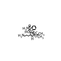 CC(C)(C)OC(=O)NC(CCCN)C(=O)O.NS(=O)(=O)c1ccccc1